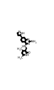 Cc1cc(C)c(CNc2nc(N)nc3cc(-c4ccn[nH]4)ccc23)c(=O)[nH]1